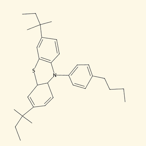 CCCCc1ccc(N2c3ccc(C(C)(C)CC)cc3SC3C=C(C(C)(C)CC)C=CC32)cc1